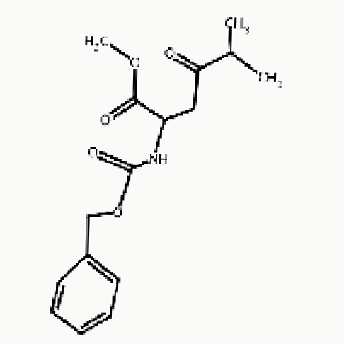 COC(=O)C(CC(=O)C(C)C)NC(=O)OCc1ccccc1